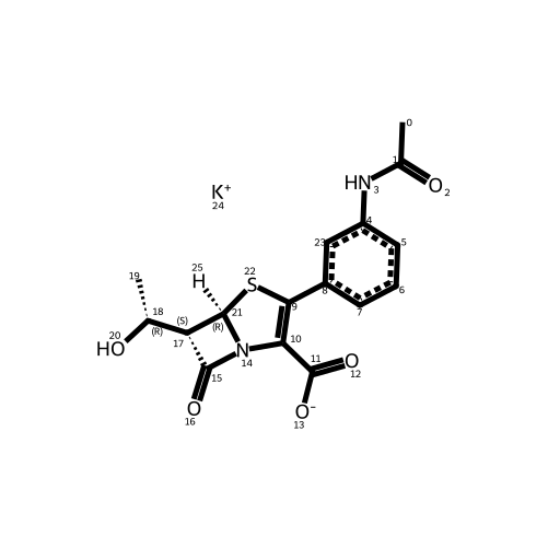 CC(=O)Nc1cccc(C2=C(C(=O)[O-])N3C(=O)[C@H]([C@@H](C)O)[C@H]3S2)c1.[K+]